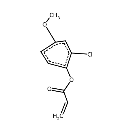 C=CC(=O)Oc1ccc(OC)cc1Cl